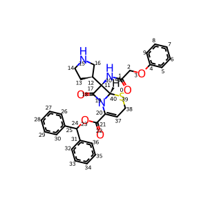 O=C(COc1ccccc1)N[C@]1([C@H]2CCNC2)C(=O)N2C(C(=O)OC(c3ccccc3)c3ccccc3)=CCS[C@H]21